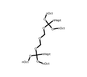 CCCCCCCCOC(CCCCCCC)(OCCCCCCCC)OCOCOC(CCCCCCC)(OCCCCCCCC)OCCCCCCCC